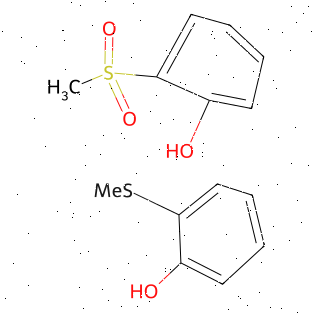 CS(=O)(=O)c1ccccc1O.CSc1ccccc1O